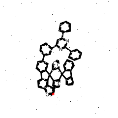 c1ccc(-c2cc(-c3cccc(-c4ccc5c(c4)C4(c6ccccc6C6(c7ccccc7-c7ccccc76)c6ccccc64)c4c-5ccc5oc6ccccc6c45)c3)nc(-c3ccccc3)n2)cc1